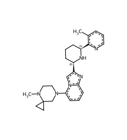 Cc1cccnc1[C@@H]1CCC[C@H](c2cn3c(N4CCN(C)C5(CC5)C4)cccc3n2)N1